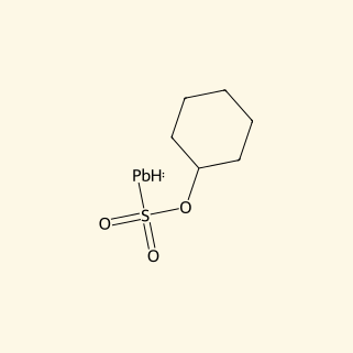 O=[S](=O)([PbH])OC1CCCCC1